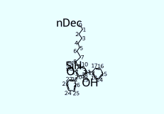 CCCCCCCCCCCCCCCCCCc1cc(-c2ccccc2)c(O)c(-c2ccccc2)c1O[SiH3]